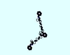 O=C(/C=C/c1ccccc1)OCCOCCOC(=O)c1ccccc1C(=O)OCCOCCOC(=O)/C=C/c1ccccc1